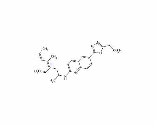 C=C/C(CC(C)Nc1ncc2cc(-c3nnc(CC(=O)O)o3)ccc2n1)=C(C)\C=C/C